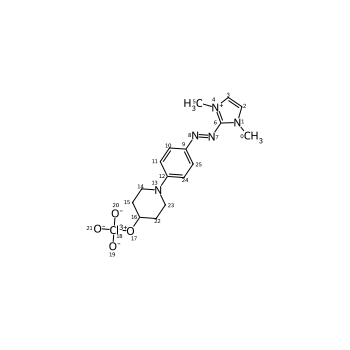 Cn1cc[n+](C)c1N=Nc1ccc(N2CCC(O[Cl+3]([O-])([O-])[O-])CC2)cc1